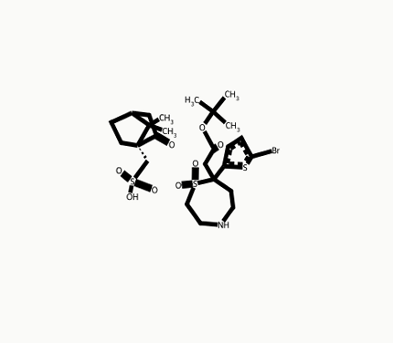 CC(C)(C)OC(=O)CC1(c2ccc(Br)s2)CCNCCS1(=O)=O.CC1(C)C2CC[C@]1(CS(=O)(=O)O)C(=O)C2